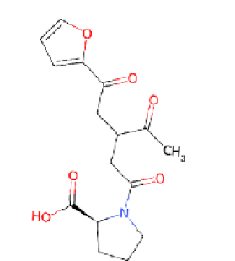 CC(=O)C(CC(=O)c1ccco1)CC(=O)N1CCC[C@H]1C(=O)O